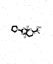 C[C@H](O)[C@H]1CC[C@H]2N=C(N3CCCC3)S[C@H]2O1